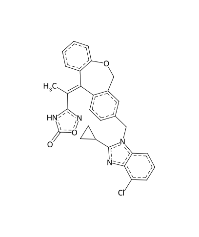 C/C(=C1/c2ccc(Cn3c(C4CC4)nc4c(Cl)cccc43)cc2COc2ccccc21)c1noc(=O)[nH]1